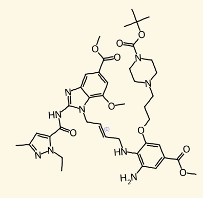 CCn1nc(C)cc1C(=O)Nc1nc2cc(C(=O)OC)cc(OC)c2n1C/C=C/CNc1c(N)cc(C(=O)OC)cc1OCCCN1CCN(C(=O)OC(C)(C)C)CC1